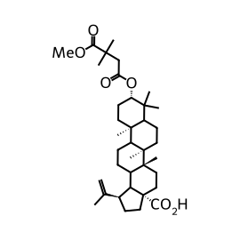 C=C(C)[C@@H]1CC[C@]2(C(=O)O)CC[C@]3(C)C(CCC4[C@@]5(C)CC[C@H](OC(=O)CC(C)(C)C(=O)OC)C(C)(C)C5CC[C@]43C)C12